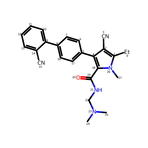 CCc1c(C#N)c(-c2ccc(-c3ccccc3C#N)cc2)c(C(=O)NCN(C)C)n1C